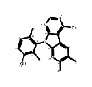 Cc1cc2c3c(Cl)ncnc3n(-c3c(C)ccc(O)c3C)c2nc1C